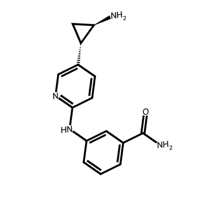 NC(=O)c1cccc(Nc2ccc([C@@H]3C[C@H]3N)cn2)c1